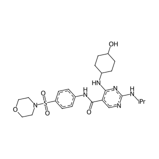 CC(C)Nc1ncc(C(=O)Nc2ccc(S(=O)(=O)N3CCOCC3)cc2)c(NC2CCC(O)CC2)n1